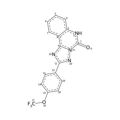 O=c1[nH]c2ccccc2c2nc(-c3ccc(OC(F)(F)F)cc3)nn12